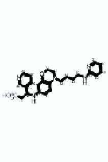 O=C(O)CC(Nc1ccc2c(c1)OCCN2CCCCNc1ccccn1)c1cccnc1